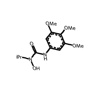 COc1cc(NC(=O)N(O)C(C)C)cc(OC)c1OC